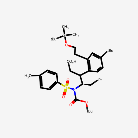 Cc1ccc(S(=O)(=O)N(C(=O)OC(C)(C)C)[C@H](CC(C)C)C(CC(=O)O)c2ccc(C(C)(C)C)cc2CCO[Si](C)(C)C(C)(C)C)cc1